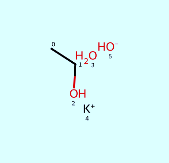 CCO.O.[K+].[OH-]